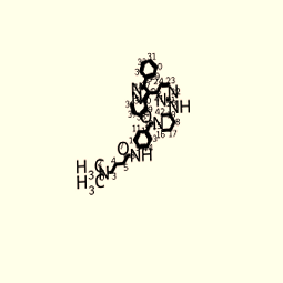 CN(C)CCCC(=O)Nc1ccc(C(=O)N2CCC[C@@H](Nc3nccc(-c4c(-c5ccccc5)nn5ccccc45)n3)C2)cc1